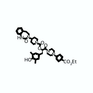 CCOC(=O)c1ccc(N2CCN(C(=O)[C@@H](Cc3cc(C)c(O)c(C)c3)OC(=O)N3CCC(N4CCc5ccccc5NC4=O)CC3)CC2)cc1